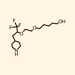 OCCCCCOCCOC(CC1CCNCC1)C(F)(F)F